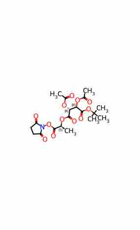 CC(=O)O[C@@H](C(=O)O[C@@H](C)C(=O)ON1C(=O)CCC1=O)[C@@H](OC(C)=O)C(=O)OC(C)(C)C